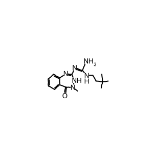 CN1NC(N=C(N)NCCC(C)(C)C)=Nc2ccccc2C1=O